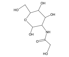 O=C(CO)NC1C(O)OC(CO)C(O)C1O